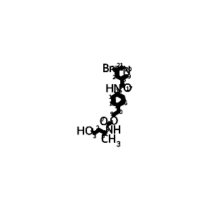 CC(CCO)NC(=O)OCCc1ccc(NC(=O)c2cncc(Br)c2)cc1